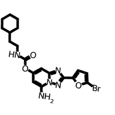 Nc1cc(OC(=O)NCCC2CCCCC2)cc2nc(-c3ccc(Br)o3)nn12